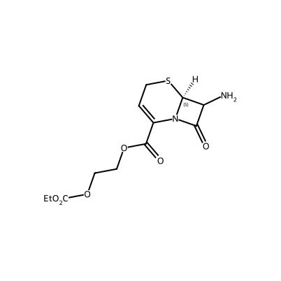 CCOC(=O)OCCOC(=O)C1=CCS[C@H]2C(N)C(=O)N12